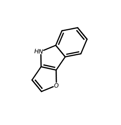 c1ccc2c(c1)[nH]c1ccoc12